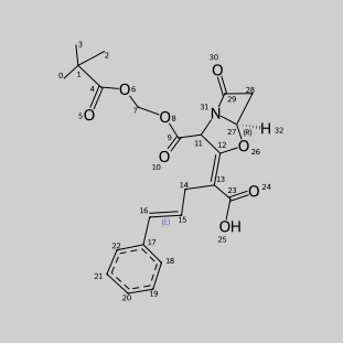 CC(C)(C)C(=O)OCOC(=O)C1C(=C(C/C=C/c2ccccc2)C(=O)O)O[C@@H]2CC(=O)N12